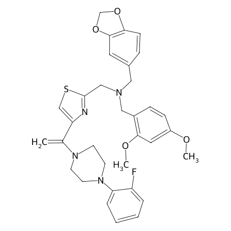 C=C(c1csc(CN(Cc2ccc3c(c2)OCO3)Cc2ccc(OC)cc2OC)n1)N1CCN(c2ccccc2F)CC1